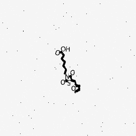 O=C(O)CCCCCCN1C(=O)S/C(=C\c2ccco2)C1=O